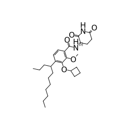 CCCCCCCC(CCC)c1ccc(C(=O)N[C@H]2CCC(=O)NC2=O)c(OC)c1OC1CCC1